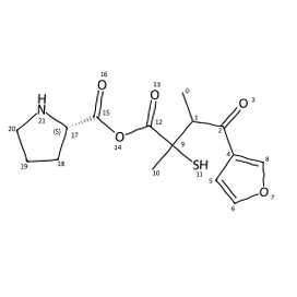 CC(C(=O)c1ccoc1)C(C)(S)C(=O)OC(=O)[C@@H]1CCCN1